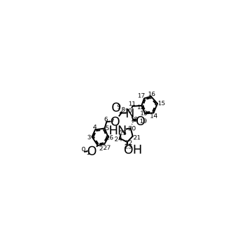 COc1ccc(COC(=O)N(Cc2ccccc2)C(=O)[C@@H]2CC(O)CN2)cc1